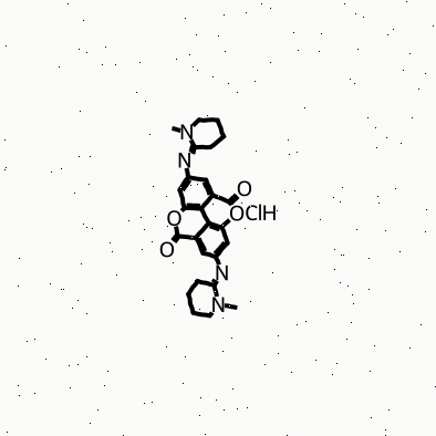 CN1CCCCC1=Nc1cc2oc(=O)c3cc(N=C4CCCCN4C)cc4oc(=O)c(c1)c2c43.Cl